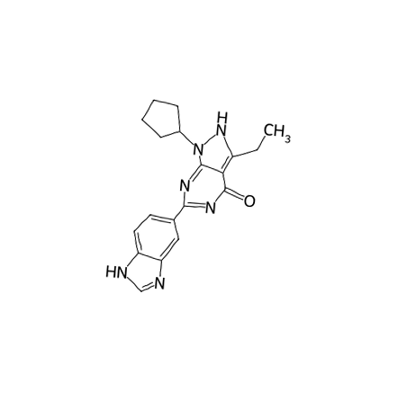 CCc1[nH]n(C2CCCC2)c2nc(-c3ccc4[nH]cnc4c3)nc(=O)c1-2